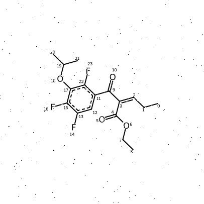 CCC=C(C(=O)OCC)C(=O)c1cc(F)c(F)c(OC(C)C)c1F